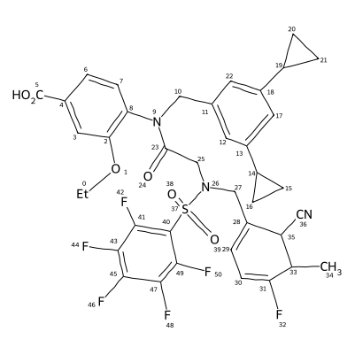 CCOc1cc(C(=O)O)ccc1N(Cc1cc(C2CC2)cc(C2CC2)c1)C(=O)CN(CC1=CC=C(F)C(C)C1C#N)S(=O)(=O)c1c(F)c(F)c(F)c(F)c1F